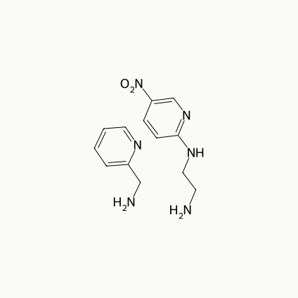 NCCNc1ccc([N+](=O)[O-])cn1.NCc1ccccn1